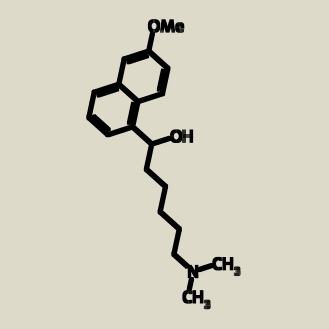 COc1ccc2c(C(O)CCCCCN(C)C)cccc2c1